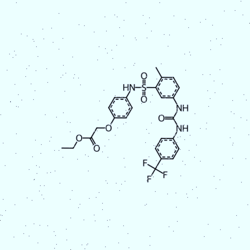 CCOC(=O)COc1ccc(NS(=O)(=O)c2cc(NC(=O)Nc3ccc(C(F)(F)F)cc3)ccc2C)cc1